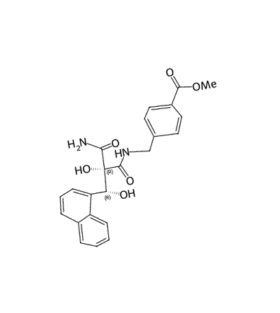 COC(=O)c1ccc(CNC(=O)[C@](O)(C(N)=O)[C@H](O)c2cccc3ccccc23)cc1